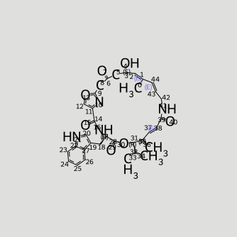 CC1=C\[C@@H](O)CC(=O)Cc2nc(co2)C(=O)N[C@H](Cc2c[nH]c3ccccc23)C(=O)O[C@H](C(C)C)[C@H](C)/C=C/C(=O)NC\C=C\1